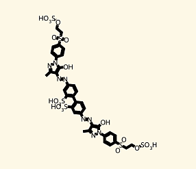 Cc1nn(-c2ccc(S(=O)(=O)CCOS(=O)(=O)O)cc2)c(O)c1/N=N/c1ccc(-c2ccc(/N=N/c3c(C)nn(-c4ccc(S(=O)(=O)CCOS(=O)(=O)O)cc4)c3O)cc2S(=O)(=O)O)c(S(=O)(=O)O)c1